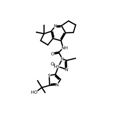 CC1=N[SH](=O)(c2cnc(C(C)(C)O)s2)N1C(=O)Nc1c2c(nc3c1CCC3(C)C)CCC2